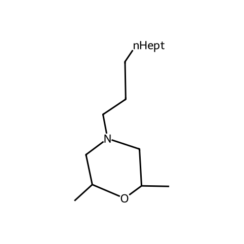 CCCCCCCCCCN1CC(C)OC(C)C1